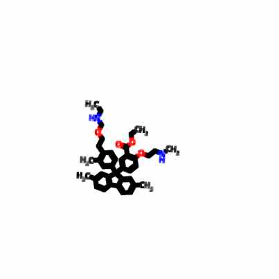 CCNCOCCc1ccc(C2(c3ccc(OCCNC)c(C(=O)OCC)c3)c3cc(C)ccc3-c3ccc(C)cc32)cc1C